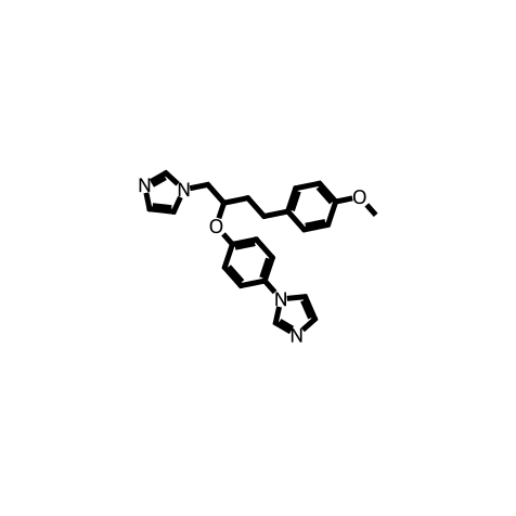 COc1ccc(CCC(Cn2ccnc2)Oc2ccc(-n3ccnc3)cc2)cc1